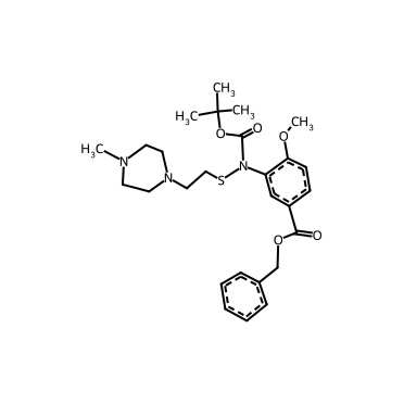 COc1ccc(C(=O)OCc2ccccc2)cc1N(SCCN1CCN(C)CC1)C(=O)OC(C)(C)C